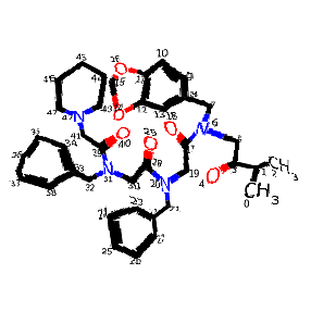 CC(C)C(=O)CN(Cc1ccc2c(c1)OCO2)C(=O)CN(Cc1ccccc1)C(=O)CN(Cc1ccccc1)C(=O)CN1CCCCC1